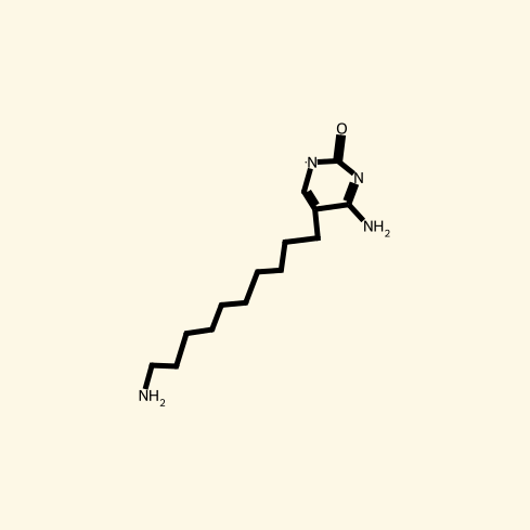 NCCCCCCCCCCC1=C[N]C(=O)N=C1N